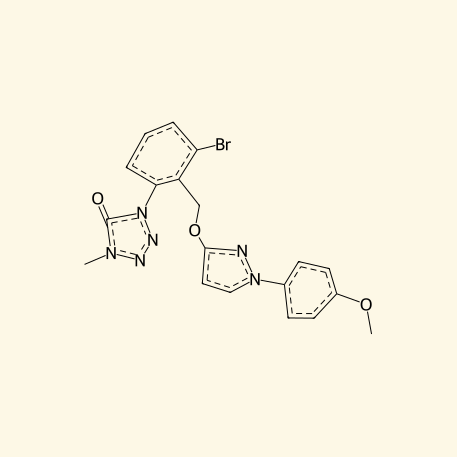 COc1ccc(-n2ccc(OCc3c(Br)cccc3-n3nnn(C)c3=O)n2)cc1